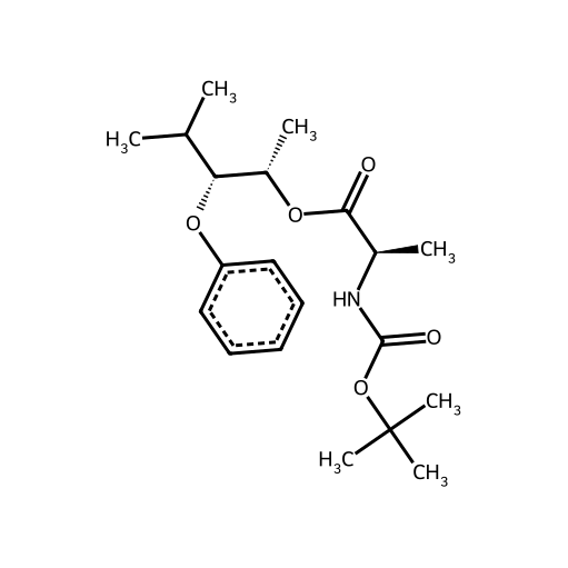 CC(C)[C@@H](Oc1ccccc1)[C@H](C)OC(=O)[C@@H](C)NC(=O)OC(C)(C)C